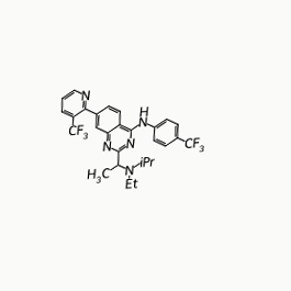 CCN(C(C)C)C(C)c1nc(Nc2ccc(C(F)(F)F)cc2)c2ccc(-c3ncccc3C(F)(F)F)cc2n1